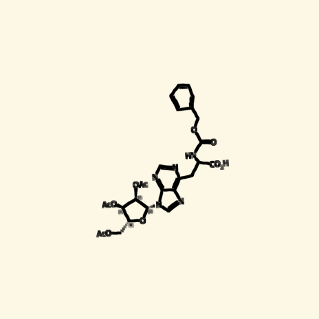 CC(=O)OC[C@H]1O[C@@H](n2cnc3c(CC(NC(=O)OCc4ccccc4)C(=O)O)ncnc32)[C@H](OC(C)=O)[C@@H]1OC(C)=O